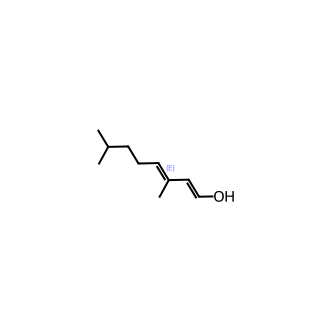 C/C(C=CO)=C\CCC(C)C